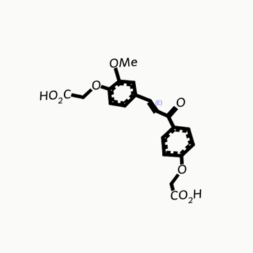 COc1cc(/C=C/C(=O)c2ccc(OCC(=O)O)cc2)ccc1OCC(=O)O